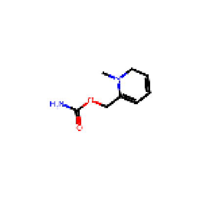 CN1CC=CC=C1COC(N)=O